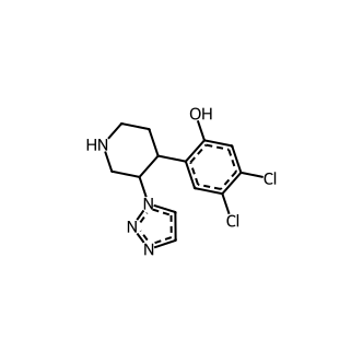 Oc1cc(Cl)c(Cl)cc1C1CCNCC1n1ccnn1